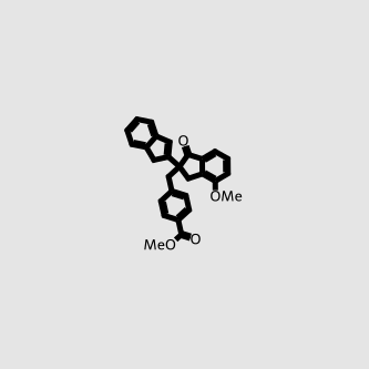 COC(=O)c1ccc(CC2(C3=Cc4ccccc4C3)Cc3c(OC)cccc3C2=O)cc1